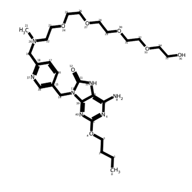 CCCCOc1nc(N)c2[nH]c(=O)n(Cc3ccc(CN(C)CCOCCOCCOCCOCCO)nc3)c2n1